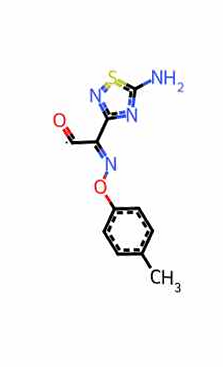 Cc1ccc(O/N=C(\[C]=O)c2nsc(N)n2)cc1